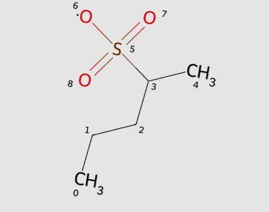 CCCC(C)S([O])(=O)=O